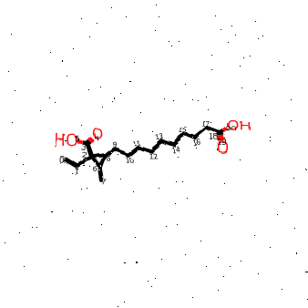 CCC1(C(=O)O)C(C)C1CCCCCCCCCC(=O)O